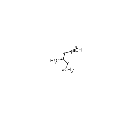 C#CCC(C)C[CH2]